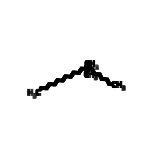 CCCCCCCCCCCC[N+](C)(C)CCCCCCC